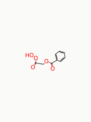 O=C(COC(=O)c1ccccc1)OO